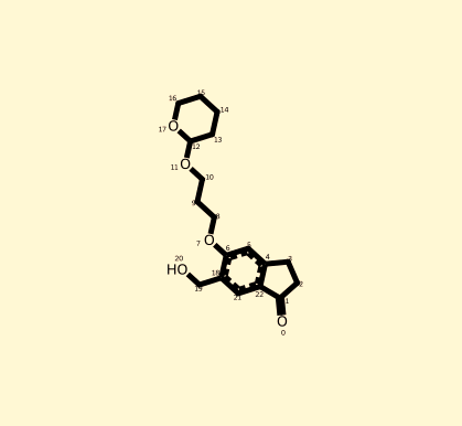 O=C1CCc2cc(OCCCOC3CCCCO3)c(CO)cc21